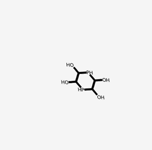 OC1PC(O)C(O)PC1O